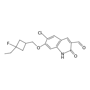 CCC1(F)CC(COc2cc3[nH]c(=O)c(C=O)cc3cc2Cl)C1